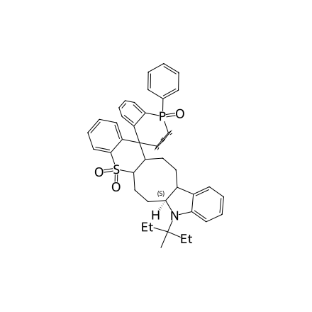 CCC(C)(CC)N1c2ccccc2C2CCC3C(CC[C@@H]21)S(=O)(=O)c1ccccc1C31c2ccccc2P(=O)(c2ccccc2)c2ccccc21